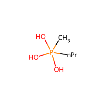 CCCP(C)(O)(O)O